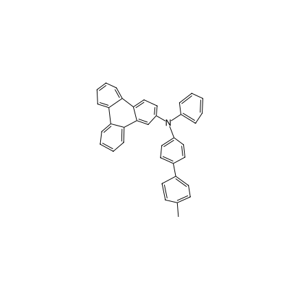 Cc1ccc(-c2ccc(N(c3ccccc3)c3ccc4c5ccccc5c5ccccc5c4c3)cc2)cc1